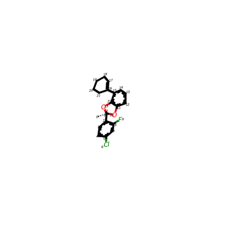 C[C@@]1(c2ccc(Cl)cc2F)Oc2cccc(C3=CCCCC3)c2O1